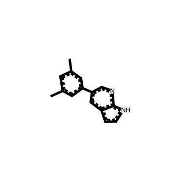 Cc1cc(C)cc(-c2cnc3[nH]ccc3c2)c1